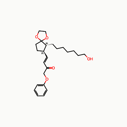 O=C(C=C[C@H]1CCC2(OCCO2)[C@@H]1CCCCCCCO)COc1ccccc1